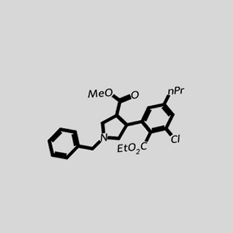 CCCc1cc(Cl)c(C(=O)OCC)c(C2CN(Cc3ccccc3)CC2C(=O)OC)c1